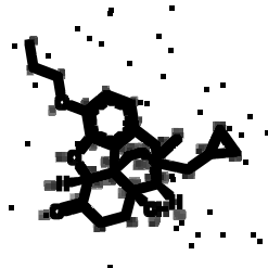 CCCOc1ccc2c3c1O[C@H]1C(=O)CC[C@@]4(O)[C@@H](C2)[N+](C)(CC2CC2)CC[C@]314